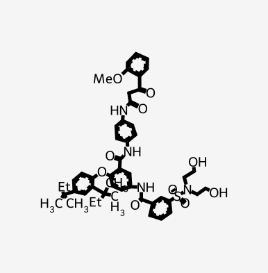 CCC(C)(C)c1ccc(Oc2ccc(NC(=O)c3cccc(S(=O)(=O)N(CCO)CCO)c3)cc2C(=O)Nc2ccc(NC(=O)CC(=O)c3ccccc3OC)cc2)c(C(C)(C)CC)c1